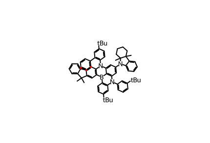 CC(C)(C)c1cccc(N2c3cc(C(C)(C)C)ccc3B3c4cc5c(cc4N(c4ccc(C(C)(C)C)cc4-c4ccccc4)c4cc(N6c7ccccc7C7(C)CCCCC67C)cc2c43)-c2ccccc2C5(C)C)c1